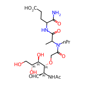 CCCN(C(=O)CO[C@@H]([C@H](O)[C@H](O)CO)[C@H](C=O)NC(C)=O)C(C)C(=O)NC(CCC(=O)O)C(N)=O